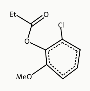 CCC(=O)Oc1c(Cl)cccc1OC